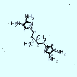 C[N+](C)(CCn1cc(N)c(N)n1)CCn1cc(N)c(N)n1